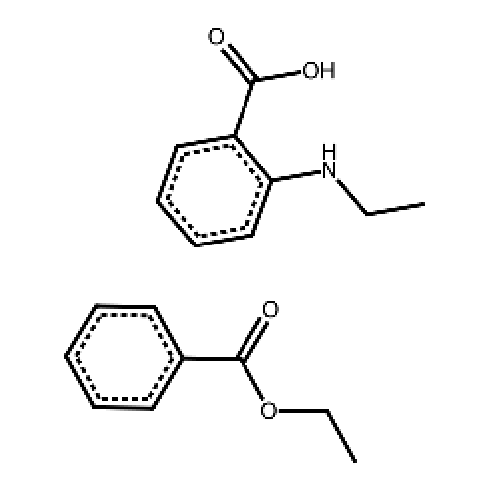 CCNc1ccccc1C(=O)O.CCOC(=O)c1ccccc1